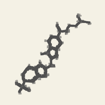 Cn1c(Nc2nc3ccc(S(C)(=O)=O)cc3s2)nc2cc(C(=O)NCC[S+](C)[O-])ccc21